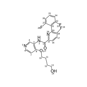 O=C(Nc1cnccc1OCCCCO)c1ccc(F)c(-c2c(F)cccc2F)n1